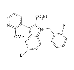 CCOC(=O)c1c(-c2cccnc2OC)c2cc(Br)ccc2n1Cc1ccccc1F